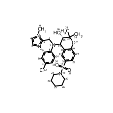 Cn1ccnc1CN(c1ccc(Cl)cc1)[C@@H]1c2cc(S(=O)(=O)N3CCCCC3)ccc2OC(C)(C)[C@H]1O